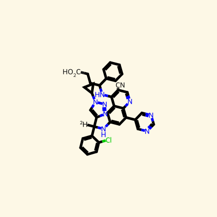 [2H]C(Nc1cc(-c2cncnc2)c2ncc(C#N)c(NC(CCC(=O)O)c3ccccc3)c2c1)(c1cn(C2CC2)nn1)c1ccccc1Cl